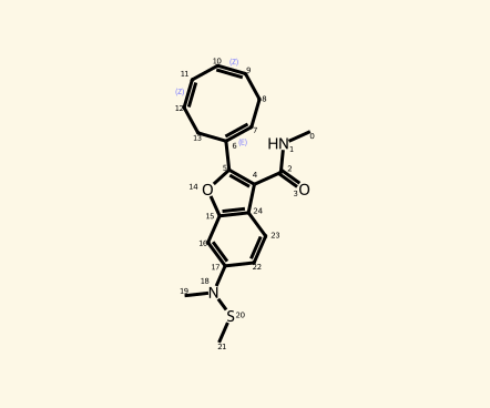 CNC(=O)c1c(/C2=C/C/C=C\C=C/C2)oc2cc(N(C)SC)ccc12